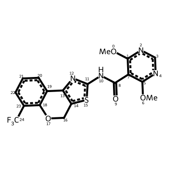 COc1ncnc(OC)c1C(=O)Nc1nc2c(s1)COc1c-2cccc1C(F)(F)F